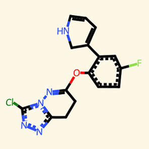 Fc1ccc(OC2=Nn3c(Cl)nnc3CC2)c(C2=CC=CNC2)c1